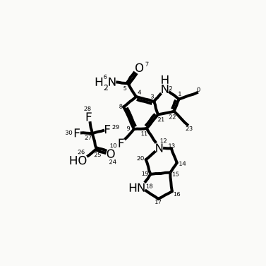 Cc1[nH]c2c(C(N)=O)cc(F)c(N3CCC4CCNC4C3)c2c1C.O=C(O)C(F)(F)F